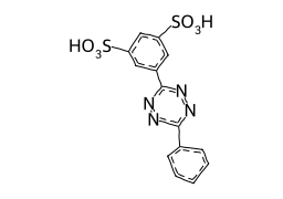 O=S(=O)(O)c1cc(-c2nnc(-c3ccccc3)nn2)cc(S(=O)(=O)O)c1